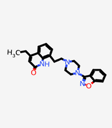 CCc1cc(=O)[nH]c2c(CCN3CCN(c4noc5ccccc45)CC3)cccc12